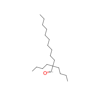 CCCCCCCCCCC([C]=O)(CCCC)CCCC